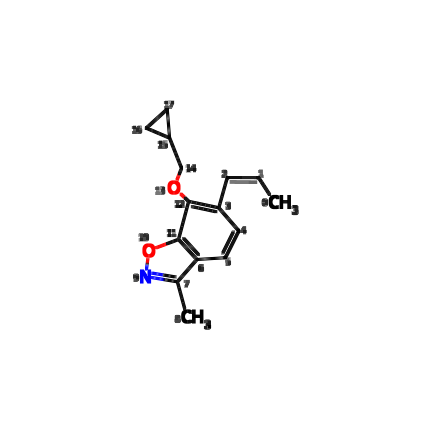 C/C=C\c1ccc2c(C)noc2c1OCC1CC1